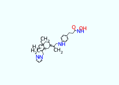 C=C[C@]1(C)CC[C@@H](C(=C)CNc2ccc(CCC(=O)NO)cc2)C[C@H]1C(=C)Cn1cccn1